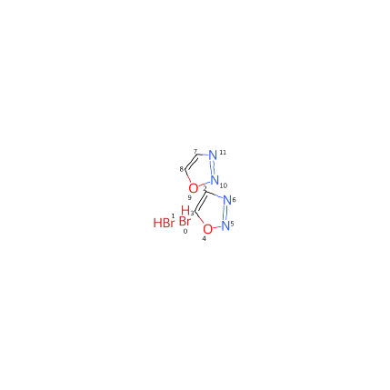 Br.Br.c1conn1.c1conn1